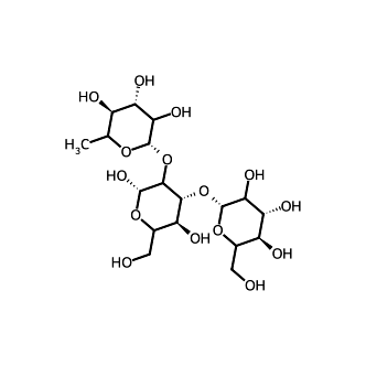 CC1O[C@@H](OC2[C@@H](O)OC(CO)[C@H](O)[C@H]2O[C@H]2OC(CO)[C@H](O)[C@@H](O)C2O)C(O)[C@@H](O)[C@@H]1O